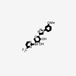 COc1cccc(-n2cc([C@H]3OC[C@H](Nc4nccc(C(F)(F)F)n4)[C@@H](O)[C@H]3O)nn2)c1